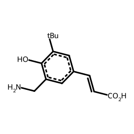 CC(C)(C)c1cc(C=CC(=O)O)cc(CN)c1O